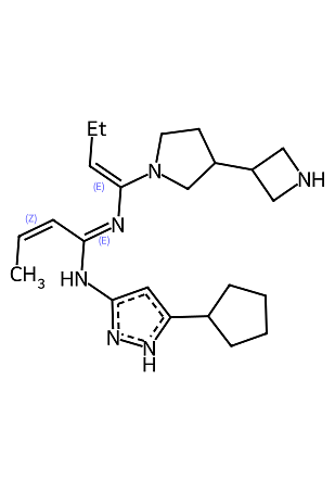 C\C=C/C(=N\C(=C\CC)N1CCC(C2CNC2)C1)Nc1cc(C2CCCC2)[nH]n1